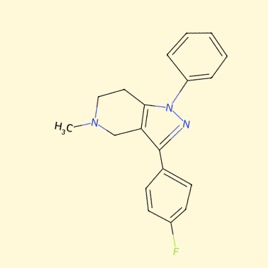 CN1CCc2c(c(-c3ccc(F)cc3)nn2-c2ccccc2)C1